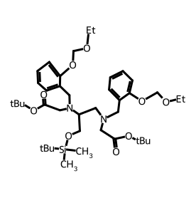 CCOCOc1ccccc1CN(CC(=O)OC(C)(C)C)CC(CO[Si](C)(C)C(C)(C)C)N(CC(=O)OC(C)(C)C)Cc1ccccc1OCOCC